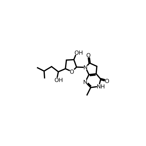 Cc1nc2c(c(=O)[nH]1)CC(=O)N2C1OC(C(O)CC(C)C)CC1O